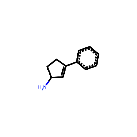 NC1C=C(c2ccccc2)CC1